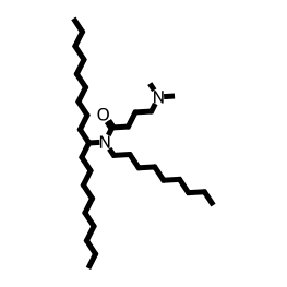 CCCCCCCCCC(CCCCCCCCC)N(CCCCCCCCC)C(=O)CCCN(C)C